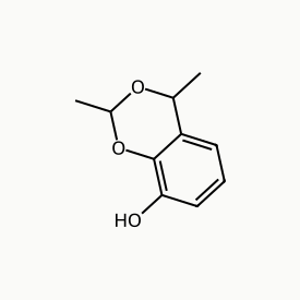 CC1Oc2c(O)cccc2C(C)O1